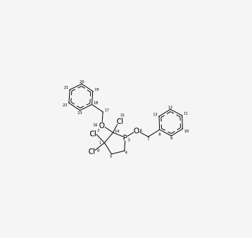 ClC1(Cl)CCP(OCc2ccccc2)C1(Cl)OCc1ccccc1